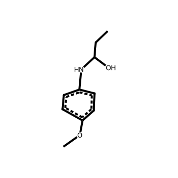 CCC(O)Nc1ccc(OC)cc1